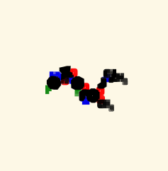 CCN(C)CCCOc1cc2c(Oc3ccc(NC(=O)C4(C(=O)Nc5ccc(F)cc5)CC4)cc3F)ccnc2cc1OC